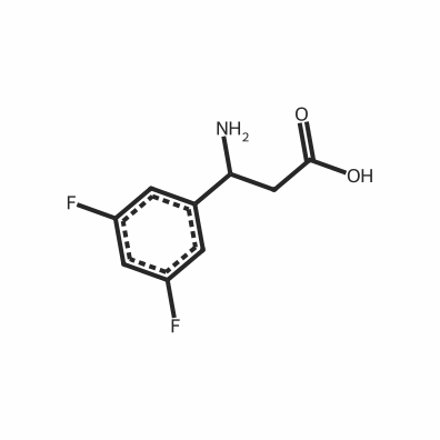 NC(CC(=O)O)c1cc(F)cc(F)c1